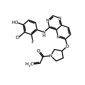 C=CC(=O)N1CCC(Oc2ccc3ncnc(Nc4ccc(O)c(Cl)c4F)c3n2)C1